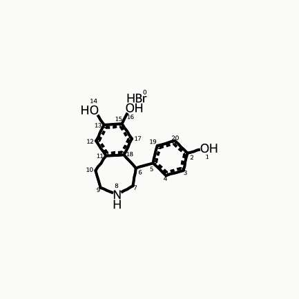 Br.Oc1ccc(C2CNCCc3cc(O)c(O)cc32)cc1